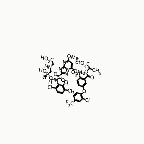 CCOC(=O)C(C)OC(=O)c1cc(Oc2ccc(C(F)(F)F)cc2Cl)ccc1[N+](=O)[O-].COc1cc(OC)n2nc(S(=O)(=O)Nc3c(Cl)ccc(C)c3Cl)nc2n1.O=C(O)CNCP(=O)(O)O